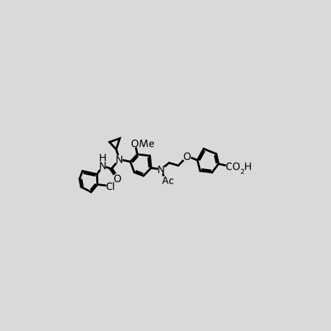 COc1cc(N(CCOc2ccc(C(=O)O)cc2)C(C)=O)ccc1N(C(=O)Nc1ccccc1Cl)C1CC1